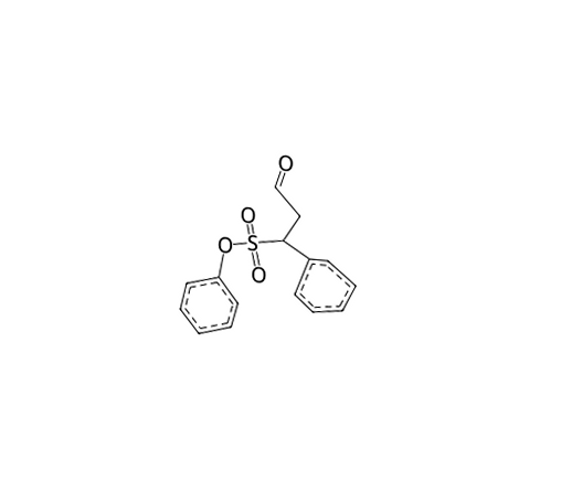 O=CCC(c1ccccc1)S(=O)(=O)Oc1ccccc1